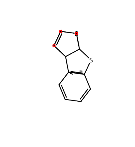 C1=CC23C=CC=CC2(C=C1)C12C=CSC1(SC=C2)S3